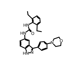 CCc1cccc(CC)c1NC(=O)Nc1ccc2[nH]nc(-c3ccc(N4CCOCC4)cc3)c2c1